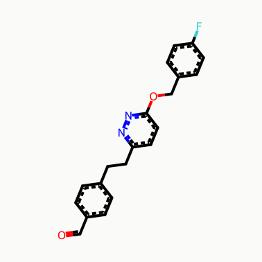 O=Cc1ccc(CCc2ccc(OCc3ccc(F)cc3)nn2)cc1